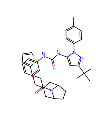 Cc1ccc(-n2nc(C(C)(C)C)cc2NC(=O)Nc2cccc(CC3CC4CCC(C3)N4C(=O)CCc3cccs3)c2)cc1